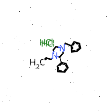 C=CCN1CCN(Cc2ccccc2)C[C@H]1c1ccccc1.Cl.Cl